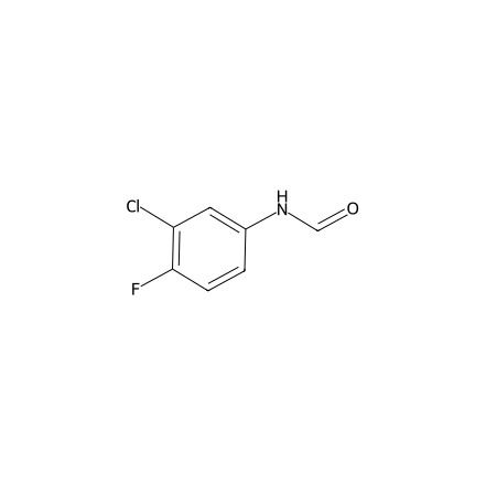 O=CNc1ccc(F)c(Cl)c1